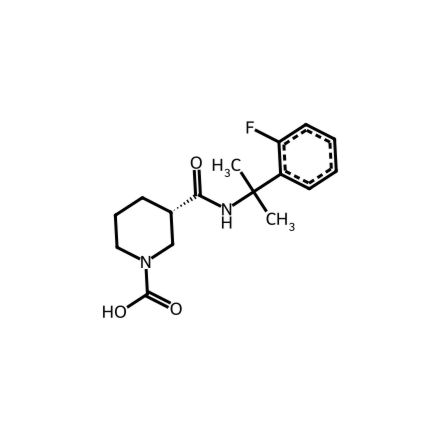 CC(C)(NC(=O)[C@H]1CCCN(C(=O)O)C1)c1ccccc1F